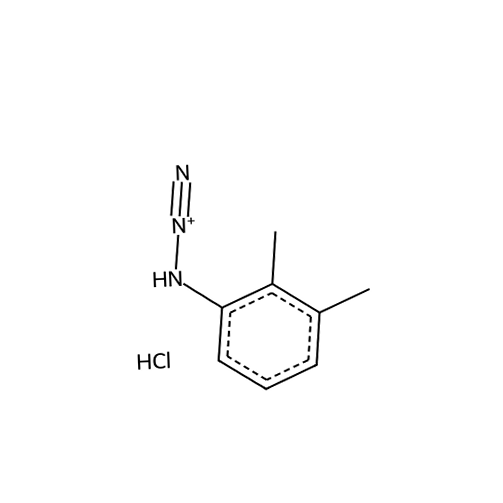 Cc1cccc(N[N+]#N)c1C.Cl